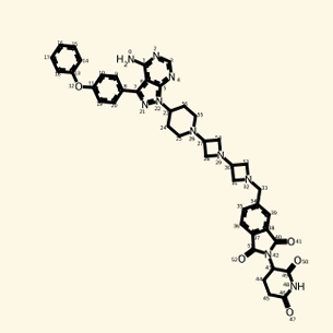 Nc1ncnc2c1c(-c1ccc(Oc3ccccc3)cc1)nn2C1CCN(C2CN(C3CN(Cc4ccc5c(c4)C(=O)N(C4CCC(=O)NC4=O)C5=O)C3)C2)CC1